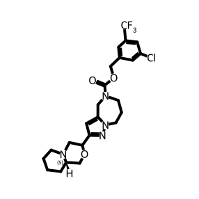 O=C(OCc1cc(Cl)cc(C(F)(F)F)c1)N1CCCn2nc(C3CN4CCCC[C@H]4CO3)cc2C1